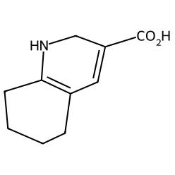 O=C(O)C1=CC2=C(CCCC2)NC1